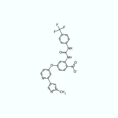 Cn1cc(-c2cc(Oc3ccc([N+](=O)[O-])c(NC(=O)Nc4ccc(C(F)(F)F)cc4)c3)ccn2)cn1